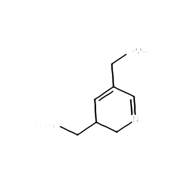 CCCCCCC1C=C(COC)C=NC1